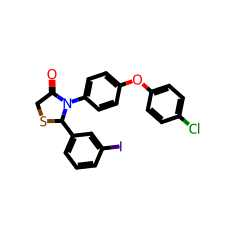 O=C1CSC(c2cccc(I)c2)N1c1ccc(Oc2ccc(Cl)cc2)cc1